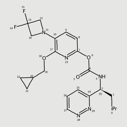 CC(C)C[C@H](NC(=O)Oc1ccc(N2CC(F)(F)C2)c(OCC2CC2)n1)c1cccnn1